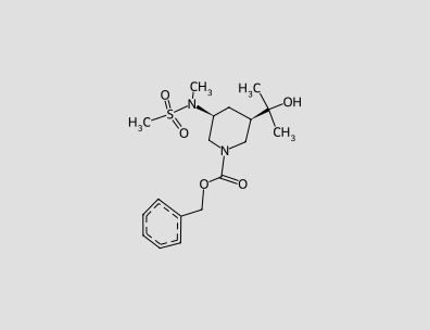 CN([C@H]1C[C@@H](C(C)(C)O)CN(C(=O)OCc2ccccc2)C1)S(C)(=O)=O